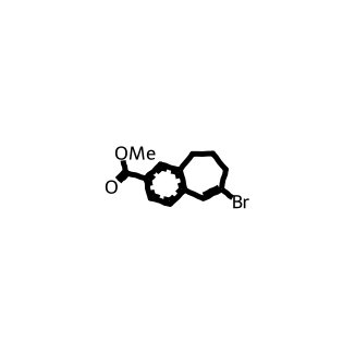 COC(=O)c1ccc2c(c1)CCCC(Br)=C2